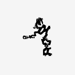 C=C(CCN1CCN(c2cccc(C)c2C)CC1)c1ccc(N(C)CCC)c(CCC=O)c1